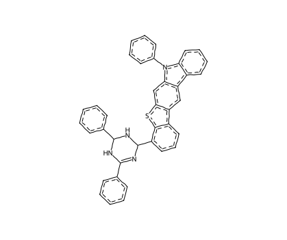 c1ccc(C2=NC(c3cccc4c3sc3cc5c(cc34)c3ccccc3n5-c3ccccc3)NC(c3ccccc3)N2)cc1